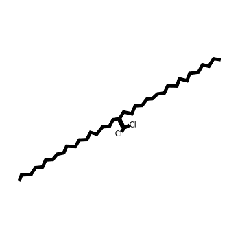 CCCCCCCCCCCCCCCCCCC(CCCCCCCCCCCCCCCCCC)=C(Cl)Cl